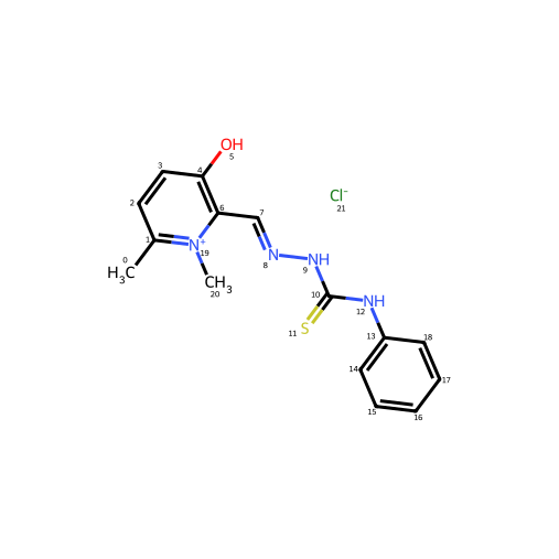 Cc1ccc(O)c(C=NNC(=S)Nc2ccccc2)[n+]1C.[Cl-]